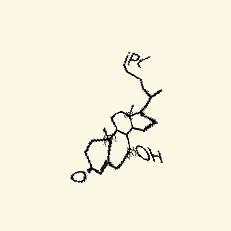 CC(C)CCCC(C)C1CCC2C3C(CC[C@]12C)[C@@]1(C)CCC(=O)C=C1C[C@H]3O